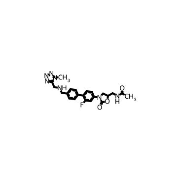 CC(=O)NCC1CN(c2ccc(-c3ccc(CNCc4nnnn4C)cc3)c(F)c2)C(=O)O1